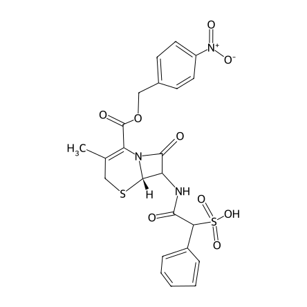 CC1=C(C(=O)OCc2ccc([N+](=O)[O-])cc2)N2C(=O)C(NC(=O)C(c3ccccc3)S(=O)(=O)O)[C@@H]2SC1